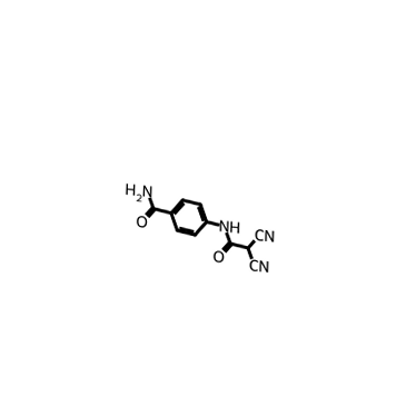 N#CC(C#N)C(=O)Nc1ccc(C(N)=O)cc1